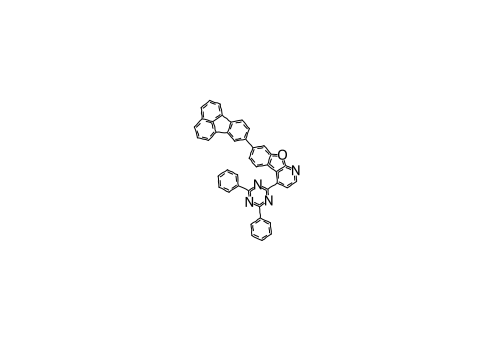 c1ccc(-c2nc(-c3ccccc3)nc(-c3ccnc4oc5cc(-c6ccc7c(c6)-c6cccc8cccc-7c68)ccc5c34)n2)cc1